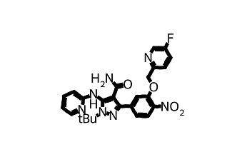 CC(C)(C)n1nc(-c2ccc([N+](=O)[O-])c(OCc3ccc(F)cn3)c2)c(C(N)=O)c1Nc1ccccn1